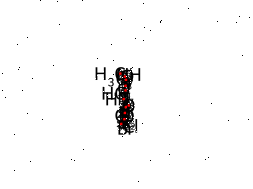 CNS(=O)(=O)c1cccc(OCC(O)CNC2COC3(CCN(S(=O)(=O)c4ccc(Br)c(Cl)c4)CC3)C2)c1